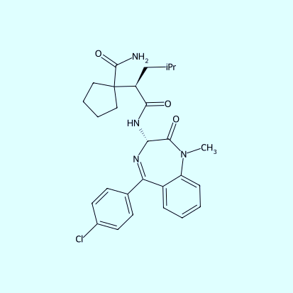 CC(C)C[C@@H](C(=O)N[C@H]1N=C(c2ccc(Cl)cc2)c2ccccc2N(C)C1=O)C1(C(N)=O)CCCC1